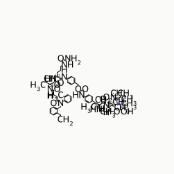 C=Cc1ccccc1CN(C(=O)CCC(=O)N[C@H](C(=O)N[C@@H](CCCNC(N)=O)C(=O)Nc1ccc(COC(=O)Nc2ccc(C(C)(C)[C@@H](NC)C(=O)N[C@H](C(=O)N(C)[C@H](/C=C(\C)C(=O)O)C(C)C)C(C)(C)C)cc2)cc1)C(C)C)c1ccccc1C